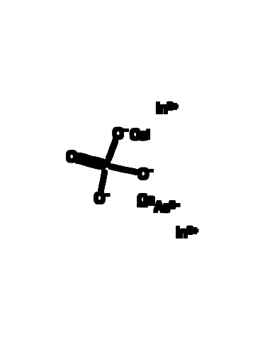 O=P([O-])([O-])[O-].[As-3].[Ga].[Ga].[In+3].[In+3]